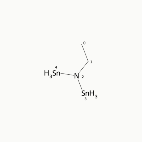 CC[N]([SnH3])[SnH3]